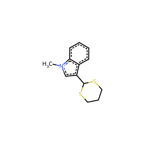 Cn1cc(C2SCCCS2)c2ccccc21